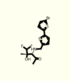 CC(=O)[C@@H](NCc1ccc(-c2ccc(Br)s2)s1)[C@](C)(O)C(F)F